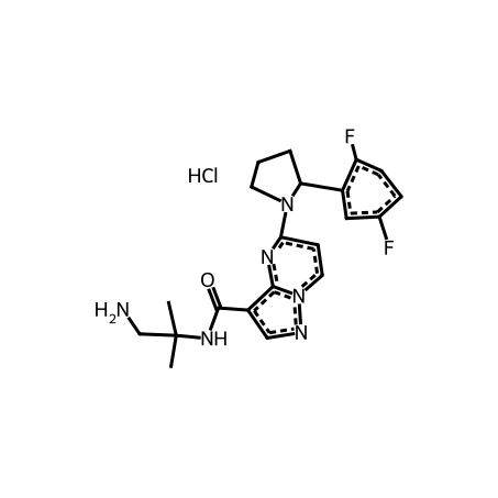 CC(C)(CN)NC(=O)c1cnn2ccc(N3CCCC3c3cc(F)ccc3F)nc12.Cl